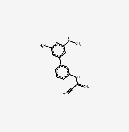 C#CC(=C)Nc1cccc(-c2cc(NC)nc(N)n2)c1